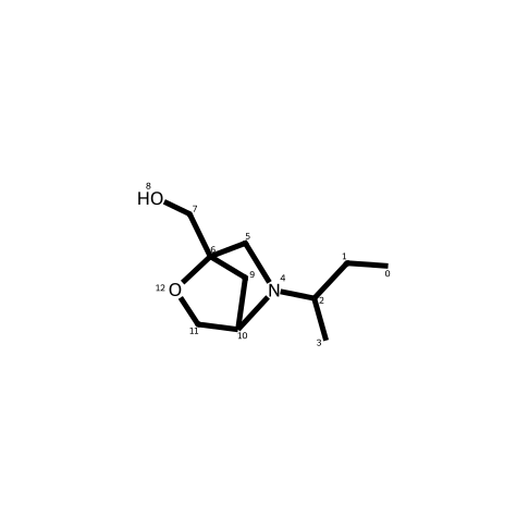 CCC(C)N1CC2(CO)CC1CO2